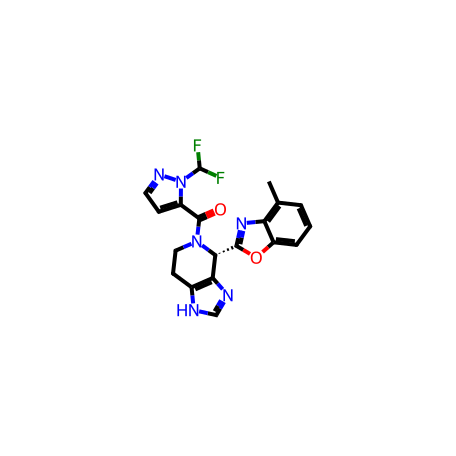 Cc1cccc2oc([C@@H]3c4nc[nH]c4CCN3C(=O)c3ccnn3C(F)F)nc12